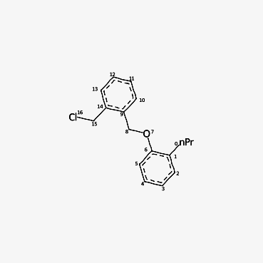 CCCc1ccccc1OCc1ccccc1CCl